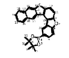 CC1(C)OB(c2ccc3oc4ccc5sc6cc7ccccc7cc6c5c4c3c2)OC1(C)C